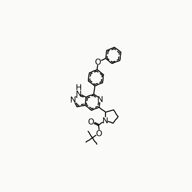 CC(C)(C)OC(=O)N1CCCC1c1cc2cn[nH]c2c(-c2ccc(Oc3ccccc3)cc2)n1